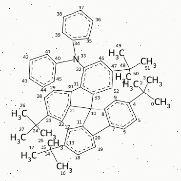 CC(C)(C)c1ccc2c(c1)C1(c3cc(C(C)(C)C)ccc3-2)c2cc(C(C)(C)C)ccc2-c2c(N(c3ccccc3)c3ccccc3)cc(C(C)(C)C)cc21